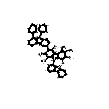 Bc1c(B)c(B)c2c(c1B)c1c(B)c(-c3ccc4c(c3)c3cccc(-c5ccccc5)c3n4-c3ccccc3)c(B)c(B)c1n2-c1cccc2c1oc1ccccc12